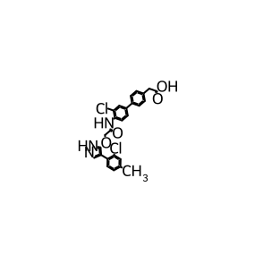 Cc1ccc(-c2cn[nH]c2OCC(=O)Nc2ccc(-c3ccc(CC(=O)O)cc3)cc2Cl)c(Cl)c1